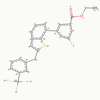 CCOC(=O)c1cc(F)cc(-c2cccc3cc(Cc4cccc(C(F)(F)F)c4)sc23)c1